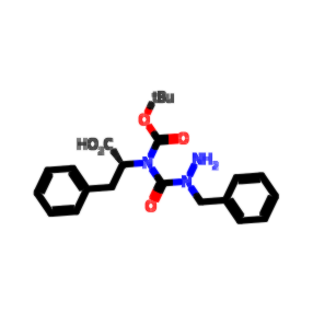 CC(C)(C)OC(=O)N(C(=O)N(N)Cc1ccccc1)[C@@H](Cc1ccccc1)C(=O)O